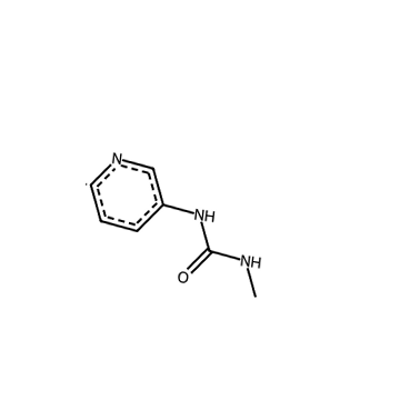 CNC(=O)Nc1cc[c]nc1